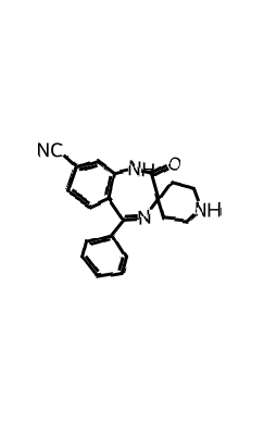 N#Cc1ccc2c(c1)NC(=O)C1(CCNCC1)N=C2c1ccccc1